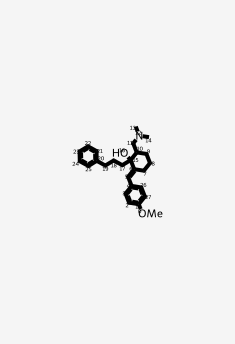 COc1ccc(C=C2CCCC(CN(C)C)C2(O)CCCc2ccccc2)cc1